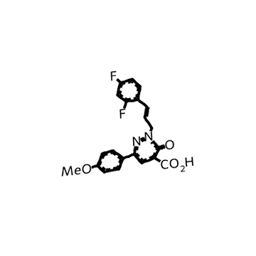 COc1ccc(-c2cc(C(=O)O)c(=O)n(CC=Cc3ccc(F)cc3F)n2)cc1